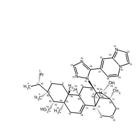 CC(C)[C@@H](C)[C@@]1(C)CC[C@]2(C)[C@H]3CC[C@@H]4[C@@]5(COC[C@]4(C)[C@@H](O)[C@H](n4ncnc4-c4ccn6ccnc6c4)C5)C3=CC[C@@]2(C)[C@@H]1C(=O)O